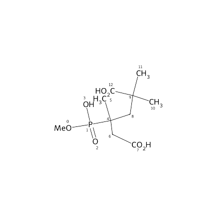 COP(=O)(O)C(C)(CC(=O)O)CC(C)(C)C(=O)O